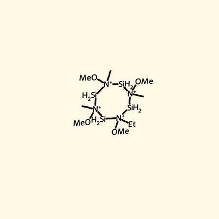 CC[N+]1(OC)[SiH2][N+](C)(OC)[SiH2][N+](C)(OC)[SiH2][N+](C)(OC)[SiH2]1